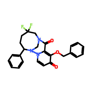 O=C1c2c(OCc3ccccc3)c(=O)ccn2N2CN1CC(F)(F)CCC2c1ccccc1